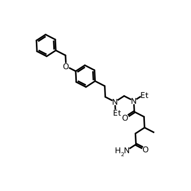 CCN(CCc1ccc(OCc2ccccc2)cc1)CN(CC)C(=O)CC(C)CC(N)=O